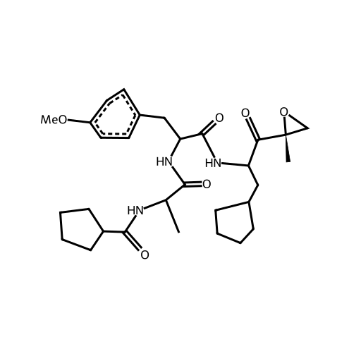 COc1ccc(CC(NC(=O)C(C)NC(=O)C2CCCC2)C(=O)NC(CC2CCCC2)C(=O)[C@@]2(C)CO2)cc1